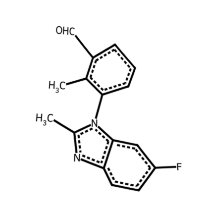 Cc1c(C=O)cccc1-n1c(C)nc2ccc(F)cc21